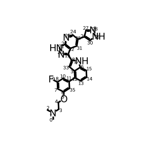 CN(C)CCOc1cc(F)cc(-c2cccc3[nH]c(-c4n[nH]c5ncc(-c6cn[nH]c6)cc45)cc23)c1